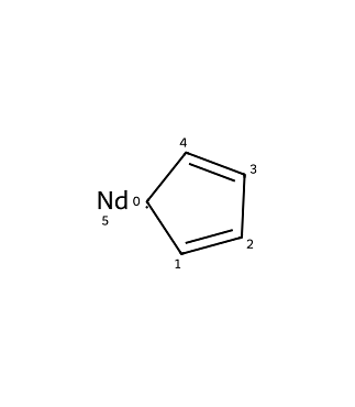 [CH]1C=CC=C1.[Nd]